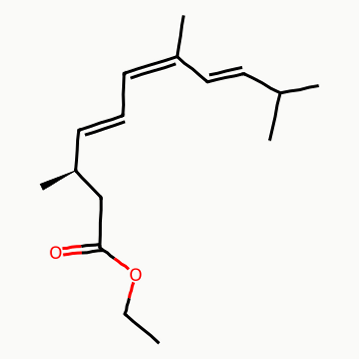 CCOC(=O)C[C@@H](C)/C=C/C=C(C)\C=C\C(C)C